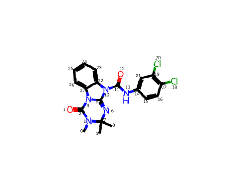 CN1C(=O)N2C(=NC1(C)C)N(C(=O)Nc1ccc(Cl)c(Cl)c1)c1ccccc12